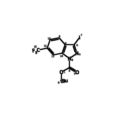 CC(C)(C)OC(=O)n1nc(I)c2ccc(C(F)(F)F)cc21